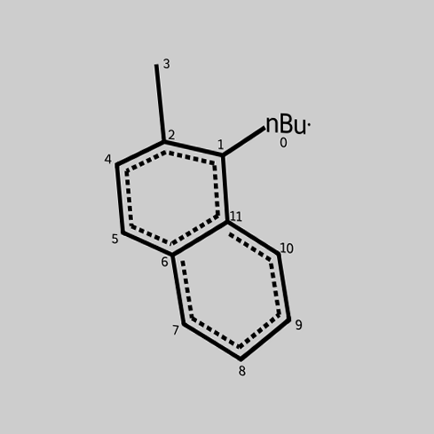 CCC[CH]c1c(C)ccc2ccccc12